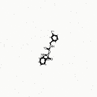 O=C(NCc1cccc(F)c1)On1[nH]c2ccccc2c1=O